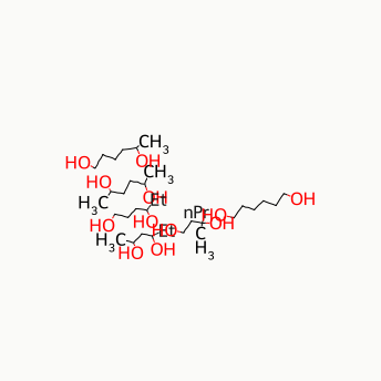 CC(O)CCC(C)O.CC(O)CCCCO.CCC(O)CC(C)O.CCC(O)CCCO.CCCC(C)(O)CCO.OCCCCCCO